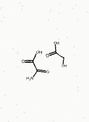 NC(=O)C(=O)O.O=C(O)CO